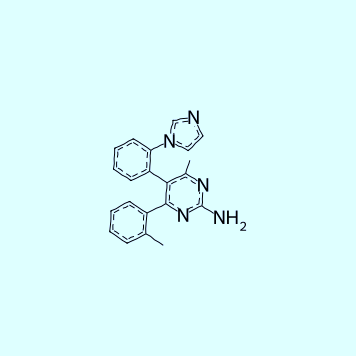 Cc1ccccc1-c1nc(N)nc(C)c1-c1ccccc1-n1ccnc1